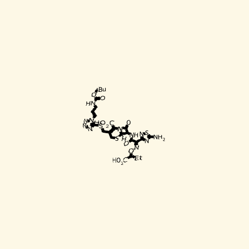 CCC(O/N=C(\C(=O)NC1C(=O)N2C(C(=O)O)=C(CSc3nnnn3CCCNC(=O)OC(C)(C)C)CS[C@H]12)c1nsc(N)n1)C(=O)O